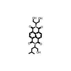 CC(C)CC(CO)N1C(=O)c2ccc3c4c(ccc(c24)C1=O)C(=O)N(C(CO)CO)C3=O